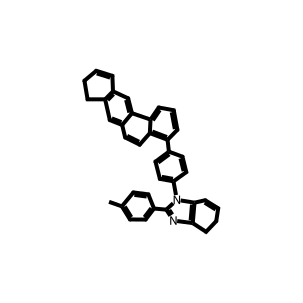 Cc1ccc(-c2nc3c(n2-c2ccc(-c4cccc5c4ccc4cc6c(cc45)C=CCC6)cc2)C=CCC3)cc1